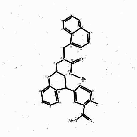 COC(=O)c1cc(C2CC(CN(Cc3cccc4ccccc34)C(=O)OC(C)(C)C)Oc3ccccc32)ccc1C